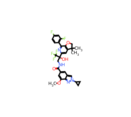 COc1cc(C(=O)NC[C@@](O)(c2cc3c(c(-c4ccc(F)cc4F)n2)OCC3(C)C)C(F)(F)F)cc2cn(C3CC3)nc12